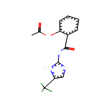 CC(=O)Oc1ccccc1C(=O)Nc1ncc(C(F)(F)F)[nH]1